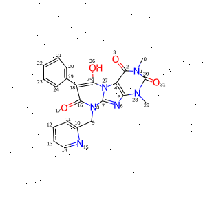 Cn1c(=O)c2c(nc3n(Cc4ccccn4)c(=O)c(-c4ccccc4)c(O)n23)n(C)c1=O